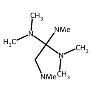 CNCC(NC)(N(C)C)N(C)C